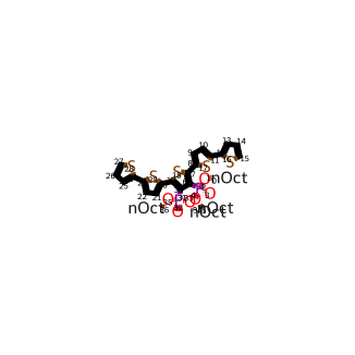 CCCCCCCCOP(=O)(OCCCCCCCC)c1c(-c2ccc(-c3cccs3)s2)sc(-c2ccc(-c3cccs3)s2)c1P(=O)(OCCCCCCCC)OCCCCCCCC